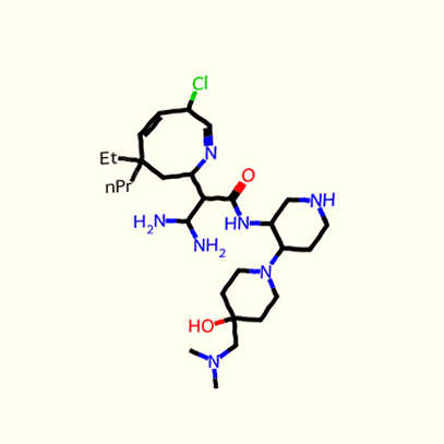 CCCC1(CC)/C=C\C(Cl)/C=N\C(C(C(=O)NC2CNCCC2N2CCC(O)(CN(C)C)CC2)C(N)N)C1